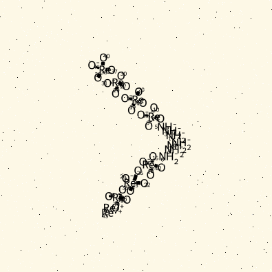 [NH2-].[NH2-].[NH2-].[NH2-].[NH2-].[NH2-].[NH2-].[O]=[Re](=[O])(=[O])[O-].[O]=[Re](=[O])(=[O])[O-].[O]=[Re](=[O])(=[O])[O-].[O]=[Re](=[O])(=[O])[O-].[O]=[Re](=[O])(=[O])[O-].[O]=[Re](=[O])(=[O])[O-].[O]=[Re](=[O])(=[O])[O-].[Re+7].[Re+7]